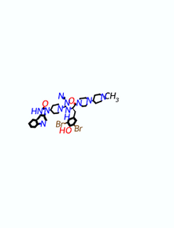 CN1CCC(N2CCN(C(=O)[C@@H](Cc3cc(Br)c(O)c(Br)c3)NC(=NC#N)N3CCC(n4c(=O)[nH]c5c6ccccc6ncc54)CC3)CC2)CC1